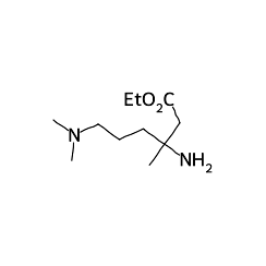 CCOC(=O)CC(C)(N)CCCN(C)C